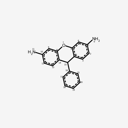 Nc1ccc2c(c1)Oc1cc(N)ccc1C2c1ccccc1